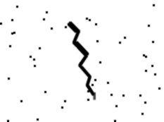 C=CC=CCCCI